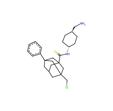 NC[C@H]1CC[C@H](NC(=S)C23CC4CC(CCl)(C2)CC(c2ccccc2)(C4)C3)CC1